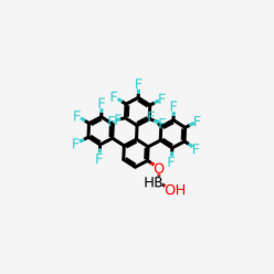 OBOc1ccc(-c2c(F)c(F)c(F)c(F)c2F)c(-c2c(F)c(F)c(F)c(F)c2F)c1-c1c(F)c(F)c(F)c(F)c1F